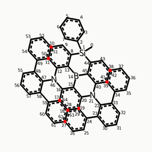 C[Si]1(c2ccccc2)c2cccc3c2B2c4c(cccc4N(c4c(-c5ccccc5)cccc4-c4ccccc4)c4cccc1c42)N3c1c(-c2ccccc2)cccc1-c1ccccc1